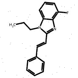 CCCn1c(C=Cc2ccccc2)nc2c(F)cccc21